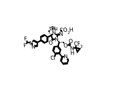 CC(C)(C)C[C@]1(c2ccc(-c3cnn(C(F)F)c3)cc2)N/C(=N\C(=O)O)N([C@H](COC(=O)NC2(C(F)(F)F)CC2)c2ccc(Cl)c(-c3ccccn3)c2)C1=O